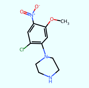 COc1cc(N2CCNCC2)c(Cl)cc1[N+](=O)[O-]